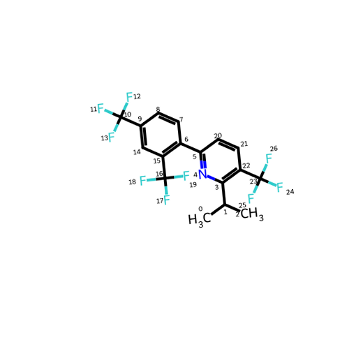 CC(C)c1nc(-c2ccc(C(F)(F)F)cc2C(F)(F)F)ccc1C(F)(F)F